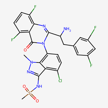 Cn1nc(NS(C)(=O)=O)c2c(Cl)ccc(-n3c(C(N)Cc4cc(F)cc(F)c4)nc4c(F)ccc(F)c4c3=O)c21